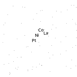 [Co].[La].[Ni].[Pt]